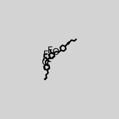 C=CCCc1ccc(OC(F)(F)c2ccc(OCC3CCC(C#CCCC)CC3)c(F)c2F)cc1